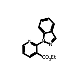 CCOC(=O)c1cccnc1-n1ncc2ccccc21